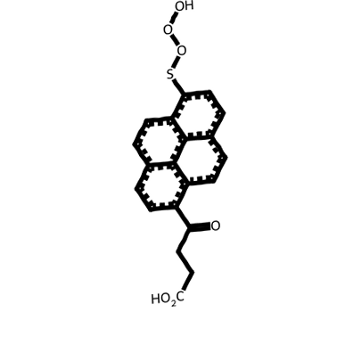 O=C(O)CCC(=O)c1ccc2ccc3c(SOOO)ccc4ccc1c2c43